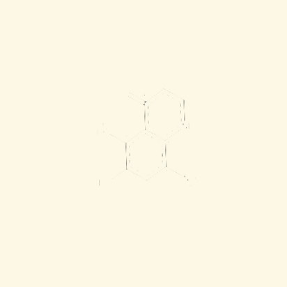 Cc1cc([N+](=O)[O-])c2[nH]ccc(=O)c2c1C